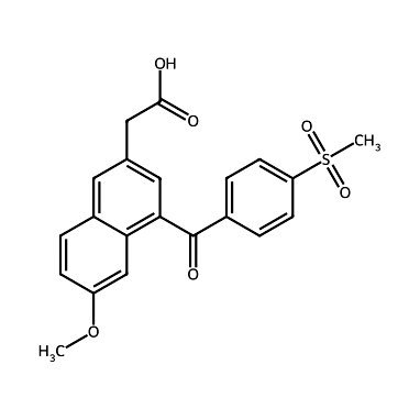 COc1ccc2cc(CC(=O)O)cc(C(=O)c3ccc(S(C)(=O)=O)cc3)c2c1